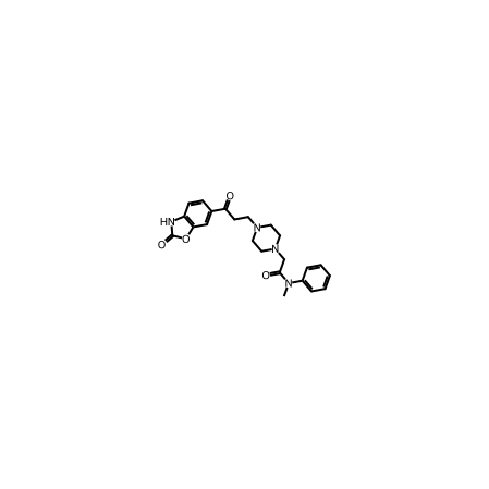 CN(C(=O)CN1CCN(CCC(=O)c2ccc3[nH]c(=O)oc3c2)CC1)c1ccccc1